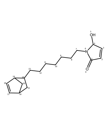 O=C1C=CC(O)N1CCCCCCCC1CC2C=CC1C2